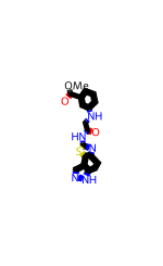 COC(=O)c1cccc(NCC(=O)Nc2nc3ccc4[nH]ncc4c3s2)c1